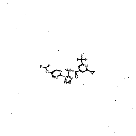 CC(NC(=O)c1cc(C2CC2)nc(C(F)(F)F)c1)c1ncnn1-c1ncc(OC(F)F)cn1